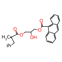 C=C(CC(C)C)C(=O)OCC(O)COC(=O)c1c2ccccc2cc2ccccc12